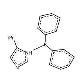 CB(c1ccccc1)c1ccccc1.CC(C)c1cnc[nH]1